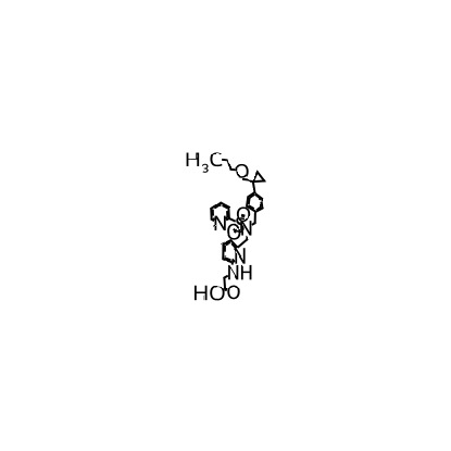 CCCOCC1(c2ccc(CN(Cc3cccc(NCC(=O)O)n3)S(=O)(=O)c3ccccn3)cc2)CC1